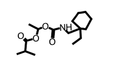 CCC1(CNC(=O)OC(C)OC(=O)C(C)C)CCCCC1